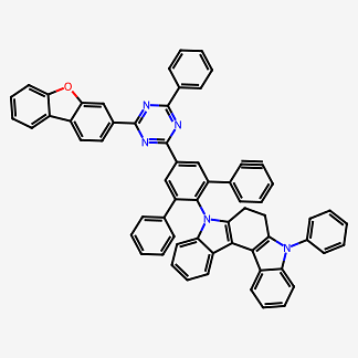 c1cccc(-c2cc(-c3nc(-c4ccccc4)nc(-c4ccc5c(c4)oc4ccccc45)n3)cc(-c3ccccc3)c2-n2c3c(c4ccccc42)-c2c(n(-c4ccccc4)c4ccccc24)CC3)c#1